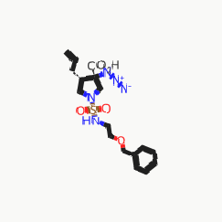 C=CC[C@H]1CN(S(=O)(=O)NCCOCc2ccccc2)C[C@@]1(N=[N+]=[N-])C(=O)O